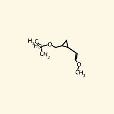 COC=CC1CC1CO[SiH](C)C